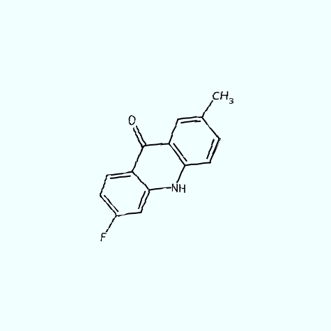 Cc1ccc2[nH]c3cc(F)ccc3c(=O)c2c1